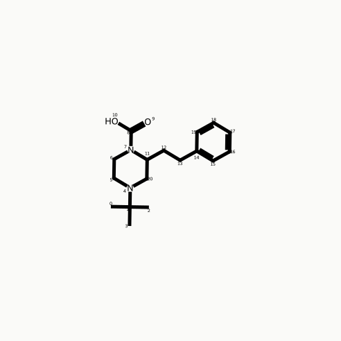 CC(C)(C)N1CCN(C(=O)O)C(CCc2ccccc2)C1